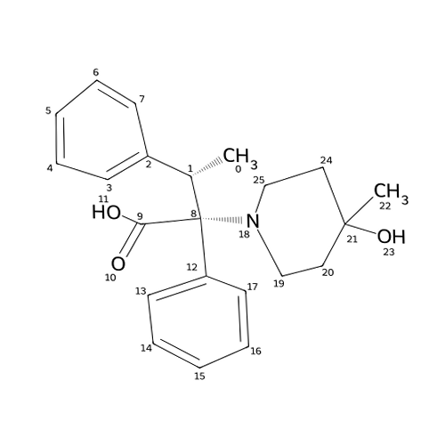 C[C@@H](c1ccccc1)[C@](C(=O)O)(c1ccccc1)N1CCC(C)(O)CC1